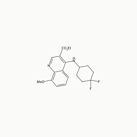 CCOC(=O)c1cnc2c(OC)cccc2c1NC1CCC(F)(F)CC1